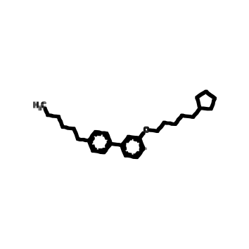 CCCCCCc1ccc(-c2cc[c]c(OCCCCCC3CCCC3)c2)cc1